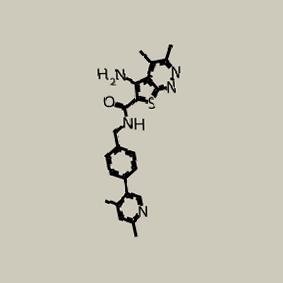 Cc1cc(C)c(-c2ccc(CNC(=O)c3sc4nnc(C)c(C)c4c3N)cc2)cn1